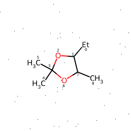 CCC1OC(C)(C)OC1C